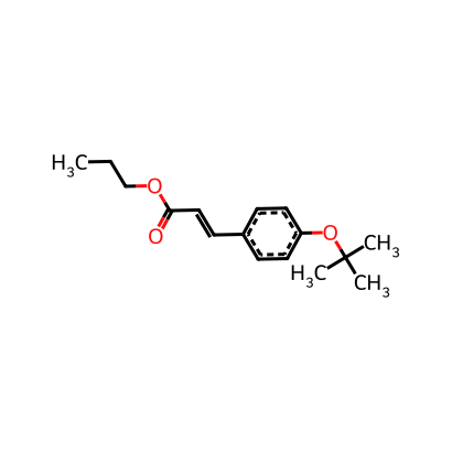 CCCOC(=O)C=Cc1ccc(OC(C)(C)C)cc1